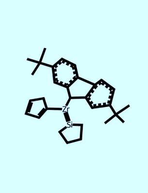 CC(C)(C)c1ccc2c(c1)[CH]([Zr]([C]1=CC=CC1)=[Si]1CCCC1)c1cc(C(C)(C)C)ccc1-2